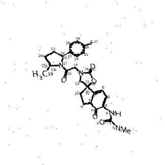 CNC(=O)NC1=CC=C2C(CC[C@]23CN(CC(=O)N2[C@@H](C)CC[C@H]2c2ccc(F)cc2)C(=O)O3)C1=O